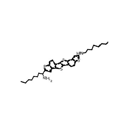 CCCCCCCCNc1cc2c(ccc3c2sc2c4ccc5sc(C(N)CCCCCCC)cc5c4sc32)s1